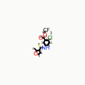 Cc1occc1C(=S)Nc1ccc(Cl)c(C(=O)OCC(F)(F)F)c1